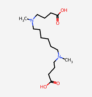 CN(CCCCCCN(C)CCCC(=O)O)CCCC(=O)O